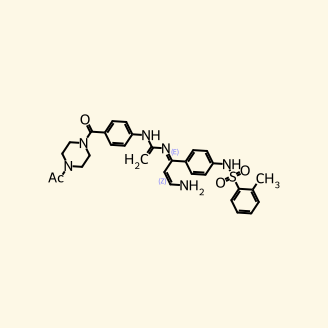 C=C(/N=C(\C=C/N)c1ccc(NS(=O)(=O)c2ccccc2C)cc1)Nc1ccc(C(=O)N2CCN(C(C)=O)CC2)cc1